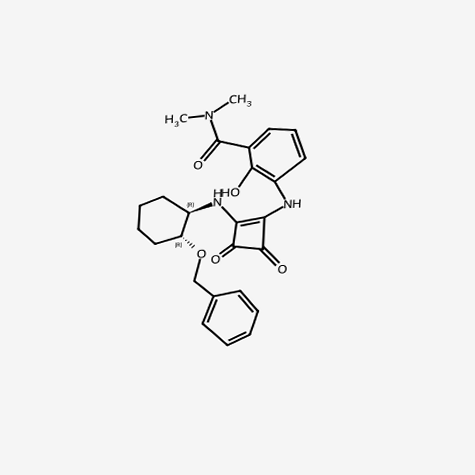 CN(C)C(=O)c1cccc(Nc2c(N[C@@H]3CCCC[C@H]3OCc3ccccc3)c(=O)c2=O)c1O